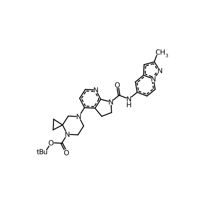 Cc1cc2cc(NC(=O)N3CCc4c(N5CCN(C(=O)OC(C)(C)C)C6(CC6)C5)ccnc43)ccn2n1